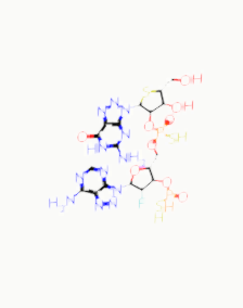 Nc1nc2c(nnn2[C@@H]2S[C@H](CO)[C@@H](O)[C@H]2OP(=O)(S)OC[C@H]2O[C@@H](n3nnc4c(N)ncnc43)[C@@H](F)[C@@H]2O[PH](=O)S)c(=O)[nH]1